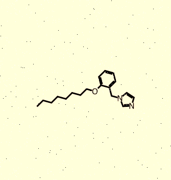 CCCCCCCCOc1ccccc1Cn1ccnc1